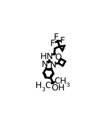 CC(C)(O)c1ccc2nc(NC(=O)CC3(C(F)(F)F)CC3)n(C3CCC3)c2c1